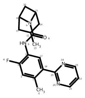 Cc1cc(F)c(NC(=O)N2C3CC(C)CC2C3)cc1-c1ncccn1